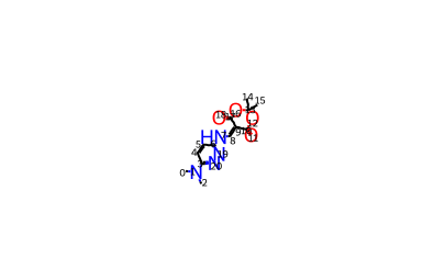 CN(C)c1ccc(NC=C2C(=O)OC(C)(C)OC2=O)nn1